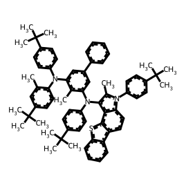 Cc1cc(C(C)(C)C)ccc1N(c1ccc(C(C)(C)C)cc1)c1cc(-c2ccccc2)cc(N(c2ccc(C(C)(C)C)cc2)c2c(C)n(-c3ccc(C(C)(C)C)cc3)c3ccc4c5ccccc5sc4c23)c1C